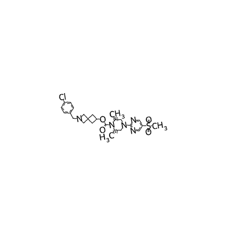 C[C@@H]1CN(c2ncc(S(C)(=O)=O)cn2)C[C@H](C)N1C(=O)OC1CC2(C1)CN(Cc1ccc(Cl)cc1)C2